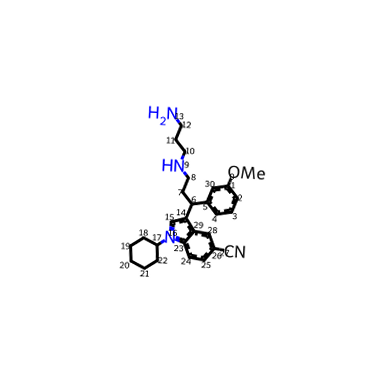 COc1cccc(C(CCNCCCN)c2cn(C3CCCCC3)c3ccc(C#N)cc23)c1